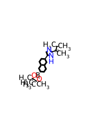 CC(C)[C@H](C)c1ncc(-c2ccc3cc(B4OC(C)(C)C(C)(C)O4)ccc3c2)[nH]1